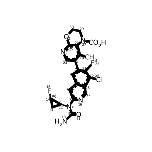 Cc1c(-c2cc3cc(N(C(N)=O)[C@H]4C[C@H]4F)ncc3c(Cl)c2F)cnc2c1N(C(=O)O)CCO2